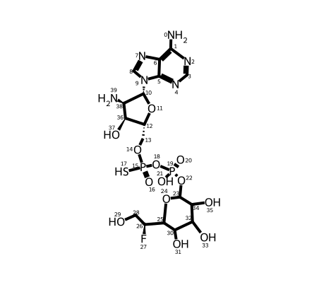 Nc1ncnc2c1ncn2[C@@H]1O[C@H](COP(=O)(S)OP(=O)(O)OC2OC([C@@H](F)CO)C(O)C(O)C2O)[C@@H](O)[C@H]1N